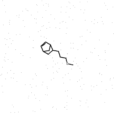 COCCCC1CC2C=CC1C2